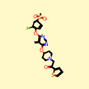 Cc1c(Oc2ccc(S(C)(=O)=O)cc2F)ncnc1OC1CCN(CC(=O)c2cccs2)CC1